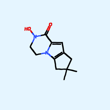 CC1(C)Cc2cc3n(c2C1)CCN(O)C3=O